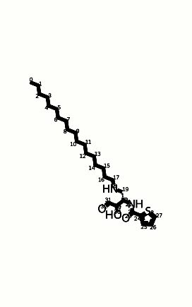 CCCCCCCCCCCCCCCCCCNC[C@H](NC(=O)c1cccs1)[C@@H](O)C=O